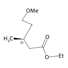 CCOC(=O)C[C@@H](C)CCOC